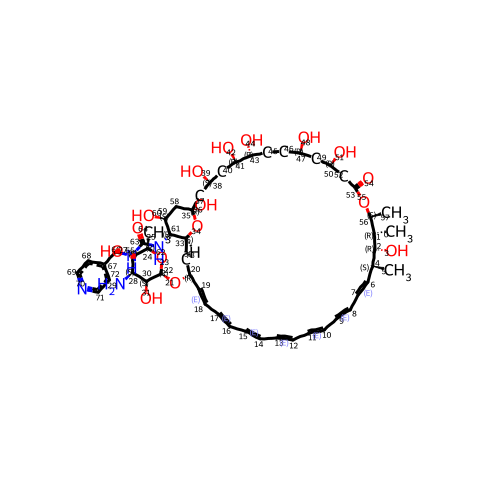 C[C@@H]1[C@H](O)[C@@H](C)/C=C/C=C/C=C/C=C/C=C/C=C/C=C/[C@H](O[C@@H]2O[C@H](C)[C@@H](O)[C@H](N)[C@@H]2O)C[C@@H]2O[C@](O)(C[C@@H](O)C[C@@H](O)[C@H](O)CC[C@@H](O)C[C@@H](O)CC(=O)O[C@H]1C)C[C@H](O)[C@H]2NC(=O)NCc1ccncc1